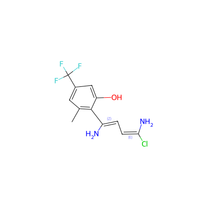 Cc1cc(C(F)(F)F)cc(O)c1/C(N)=C/C=C(\N)Cl